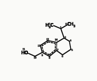 CC(C)C1CCCc2cc(CO)ccc21